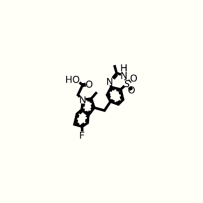 CC1=Nc2cc(Cc3c(C)n(CC(=O)O)c4ccc(F)cc34)ccc2S(=O)(=O)N1